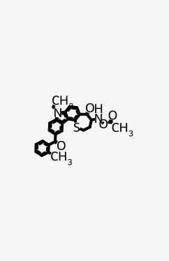 CCn1c2ccc(C(=O)c3ccccc3C)cc2c2c3c(ccc21)C(=O)C(NOC(C)=O)CCS3